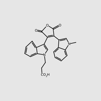 Cn1cc(C2=C(c3cn(CCC(=O)O)c4ccccc34)C(=O)OC2=O)c2ccccc21